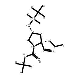 CCC[C@@]1(C=O)C[C@@H](O[Si](C)(C)C(C)(C)C)CN1C(=O)OC(C)(C)C